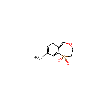 O=C(O)C1=CCC2=COCCS(=O)(=O)C2=C1